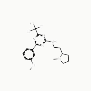 COc1cccc(-c2nc(NCCC3CCCN3C)nc(C(Cl)(Cl)Cl)n2)c1